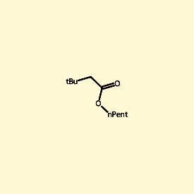 [CH2]C(C)(C)CC(=O)OCCCCC